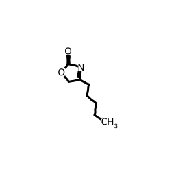 CCCCCC1=NC(=O)OC1